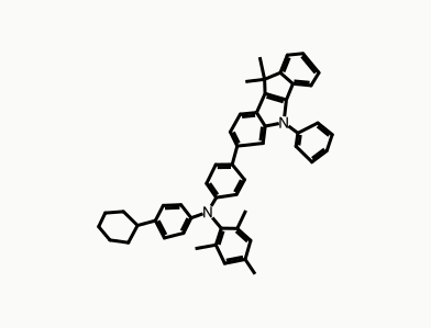 Cc1cc(C)c(N(c2ccc(-c3ccc4c5c(n(-c6ccccc6)c4c3)-c3ccccc3C5(C)C)cc2)c2ccc(C3CCCCC3)cc2)c(C)c1